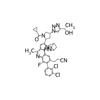 Cc1nc2c(F)c(-c3cccc(Cl)c3Cl)c(CCC#N)cc2c2c1cc(C1CC(n3cc([C@H](C)O)nn3)CN1C(=O)C1CC1)n2C1C2CNC1C2